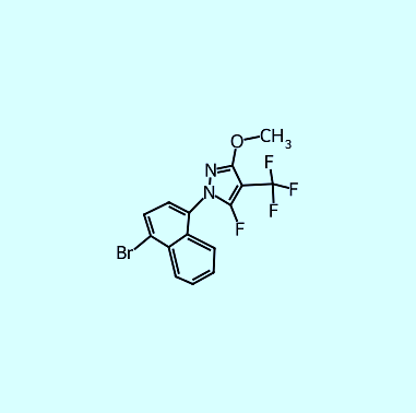 COc1nn(-c2ccc(Br)c3ccccc23)c(F)c1C(F)(F)F